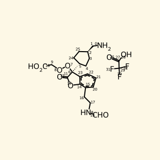 NC[C@H]1CC[C@H](C2(OOCC(=O)O)C(=O)Oc3c(CCNC=O)cccc32)CC1.O=C(O)C(F)(F)F